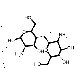 NC1C(O)[C@H](O)C(CO)O[C@H]1C[C@H]1C(CO)OC(O)[C@H](N)C1O